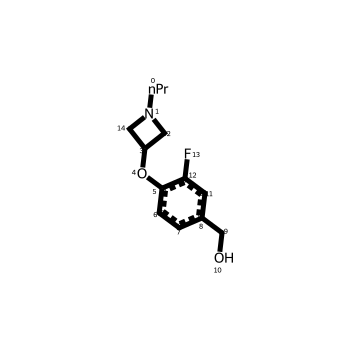 CCCN1CC(Oc2ccc(CO)cc2F)C1